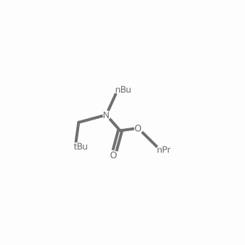 CCCCN(CC(C)(C)C)C(=O)OCCC